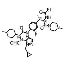 CCC(=O)N[C@@H](C(=O)N1CCN(C)CC1)[C@@H](C)c1ccc(NC(=O)[C@H](C2CCC(C)CC2)N(C=O)c2ccnn2CC2CC2)c(F)c1